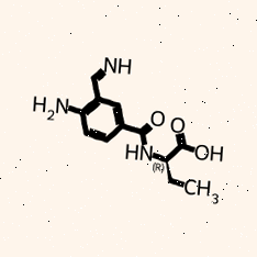 CC[C@@H](NC(=O)c1ccc(N)c(C=N)c1)C(=O)O